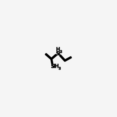 CC[SiH2]C(C)[SiH3]